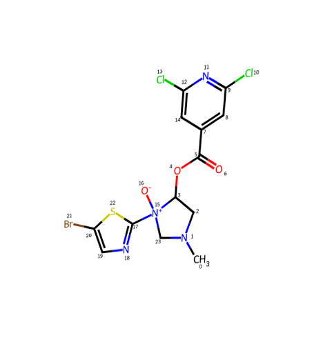 CN1CC(OC(=O)c2cc(Cl)nc(Cl)c2)[N+]([O-])(c2ncc(Br)s2)C1